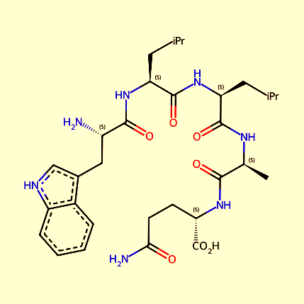 CC(C)C[C@H](NC(=O)[C@H](CC(C)C)NC(=O)[C@@H](N)Cc1c[nH]c2ccccc12)C(=O)N[C@@H](C)C(=O)N[C@@H](CCC(N)=O)C(=O)O